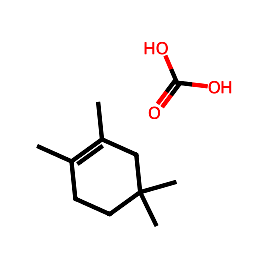 CC1=C(C)CC(C)(C)CC1.O=C(O)O